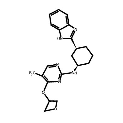 FC(F)(F)c1cnc(N[C@@H]2CCC[C@H](c3nc4ccccc4[nH]3)C2)nc1OC1COC1